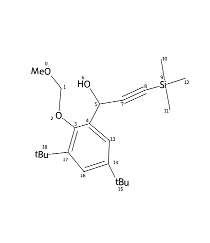 COCOc1c(C(O)C#C[Si](C)(C)C)cc(C(C)(C)C)cc1C(C)(C)C